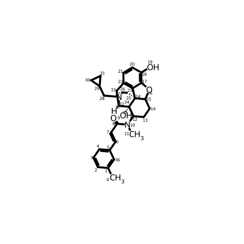 Cc1cccc(/C=C/C(=O)N(C)C2CCC3Oc4c(O)ccc5c4[C@@]34CCN(CC3CC3)[C@H](C5)[C@]24O)c1